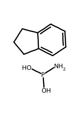 NP(O)O.c1ccc2c(c1)CCC2